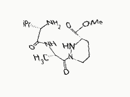 COC(=O)[C@@H]1CCCN(C(=O)[C@H](C)NC(=O)[C@@H](N)C(C)C)N1